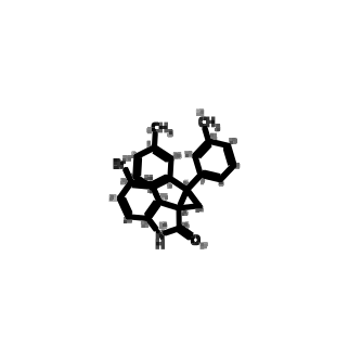 Cc1cccc(C2(c3cccc(C)c3)CC23C(=O)Nc2ccc(Br)cc23)c1